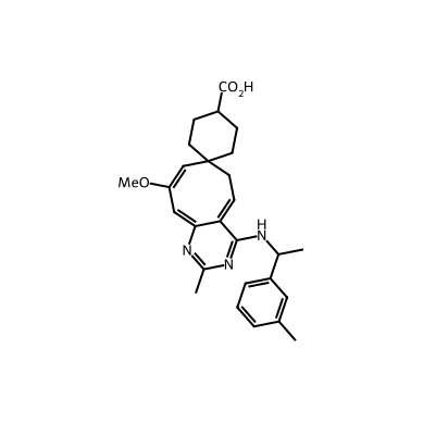 COC1=C\C2(C/C=c3/c(NC(C)c4cccc(C)c4)nc(C)n/c3=C/1)CCC(C(=O)O)CC2